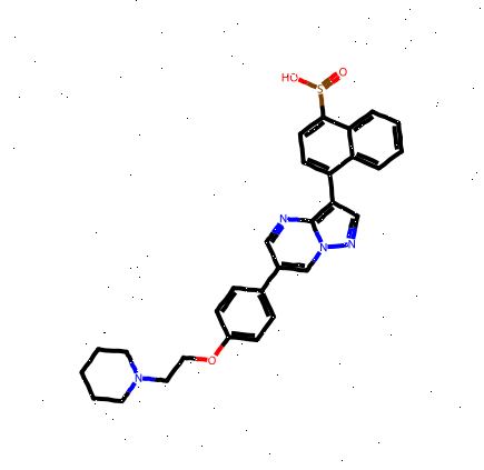 O=S(O)c1ccc(-c2cnn3cc(-c4ccc(OCCN5CCCCC5)cc4)cnc23)c2ccccc12